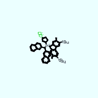 Cc1cc2c(cc1C(C)(C)C)-c1cc(C(C)(C)C)c(C)cc1[CH]2[Zr+2]([C]1=CC=CC1)=[C](c1ccc2ccccc2c1)c1ccc2ccccc2c1.[Cl-].[Cl-]